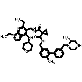 CCc1nc2c(cnn2CC)c(NC2CCOCC2)c1CNC(=O)C1(C(=O)NCc2ccc(C)c(-c3cccc(CN4CCNC[C@H]4C)c3)c2)CC1